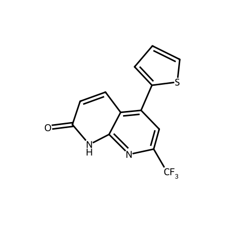 O=c1ccc2c(-c3cccs3)cc(C(F)(F)F)nc2[nH]1